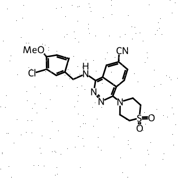 COc1ccc(CNc2nnc(N3CCS(=O)(=O)CC3)c3ccc(C#N)cc23)cc1Cl